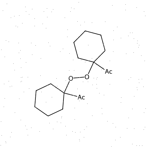 CC(=O)C1(OOC2(C(C)=O)CCCCC2)CCCCC1